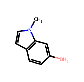 Bc1ccc2ccn(C)c2c1